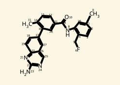 Cc1ccc(CF)c(NC(=O)c2ccc(C)c(-c3ccc4nc(N)ncc4c3)c2)c1